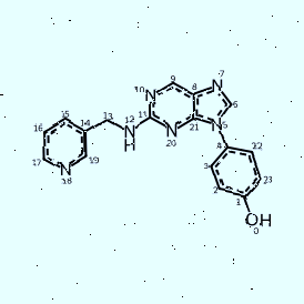 Oc1ccc(-n2cnc3cnc(NCc4cccnc4)nc32)cc1